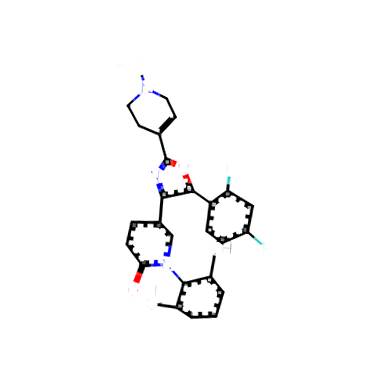 Cc1cccc(C)c1-n1cc(-c2nc(C3=CCN(C)CC3)oc2-c2ccc(F)cc2F)ccc1=O